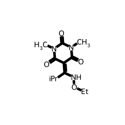 CCONC(=C1C(=O)N(C)C(=O)N(C)C1=O)C(C)C